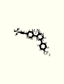 C[Si](C)(C)C#Cc1ccc(-c2nc(-c3ccc(C(F)(F)F)cc3)cnc2N)cn1